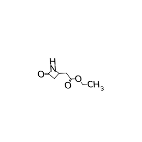 CCOC(=O)CC1CC(=O)N1